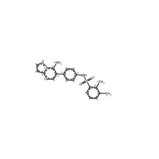 Cc1cccc(S(=O)(=O)Nc2ccc(-c3cnc4ccnn4c3N)cc2)c1C